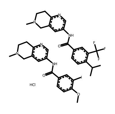 CC(C)c1ccc(C(=O)Nc2cnc3c(c2)CN(C)CC3)cc1C(F)(F)F.COc1ccc(C(=O)Nc2cnc3c(c2)CN(C)CC3)cc1I.Cl